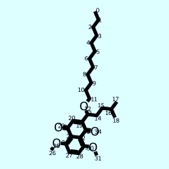 CCCCCCCCCCCCOC(CCC(C)C)C1=CC(=O)c2c(OC)ccc(OC)c2C1=O